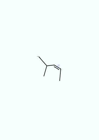 [CH2]C(C)/C=C\C